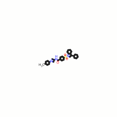 Cc1ccc(N2CC(NC(=O)c3ccc(S(=O)(=O)n4cc(-c5ccccc5)c5ccccc54)cc3)C2)cc1